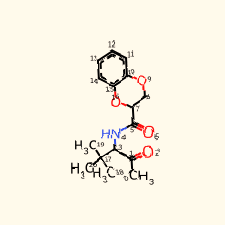 CC(=O)C(NC(=O)C1COc2ccccc2O1)C(C)(C)C